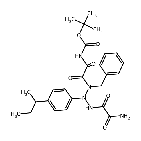 CCC(C)c1ccc(N(NC(=O)C(N)=O)N(Cc2ccccc2)C(=O)C(=O)NC(=O)OC(C)(C)C)cc1